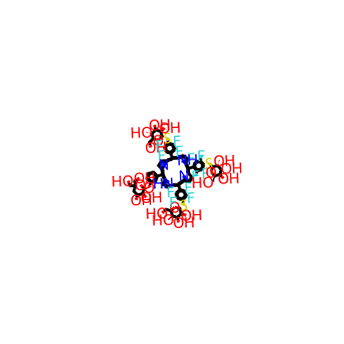 OCC1O[C@@H](Sc2c(F)c(F)c(-c3c4nc(c(-c5c(F)c(F)c(SC6O[C@H](CO)C(O)C(O)[C@H]6O)c(F)c5F)c5ccc([nH]5)c(-c5c(F)c(F)c(S[C@@H]6OC(CO)[C@H](O)C(O)C6O)c(F)c5F)c5nc(c(-c6cccc(O[C@@H]7OC(CO)(CO)CC(O)C7O)c6)c6ccc3[nH]6)C=C5)C=C4)c(F)c2F)C(O)C(O)[C@H]1O